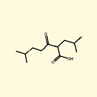 CC(C)CCC(=O)C(CC(C)C)C(=O)O